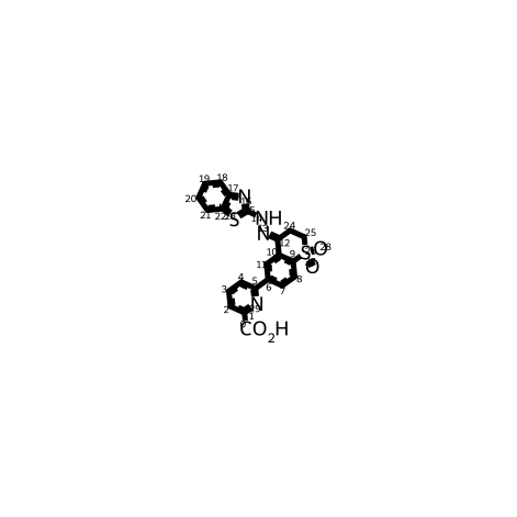 O=C(O)c1cccc(-c2ccc3c(c2)C(=NNc2nc4ccccc4s2)CCS3(=O)=O)n1